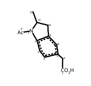 CC(=O)N1c2ccc(CC(=O)O)cc2CC1C